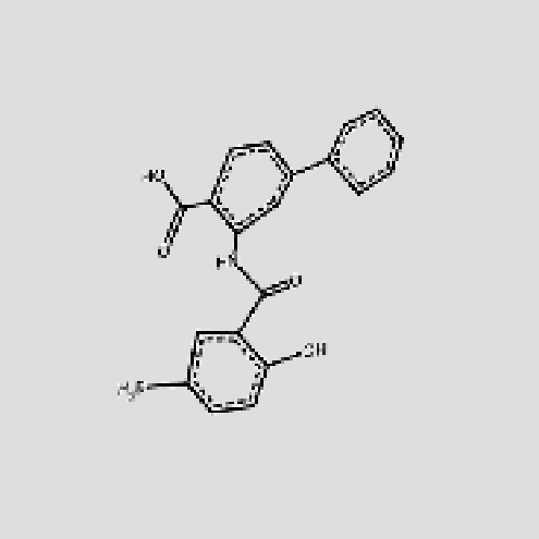 Bc1ccc(O)c(C(=O)Nc2cc(-c3ccccc3)ccc2C(=O)O)c1